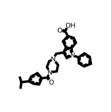 CC(C)c1ccc(C(=O)N2CCN(Cc3cn(-c4ccccc4)c4ccc(C(=O)O)cc34)CC2)cc1